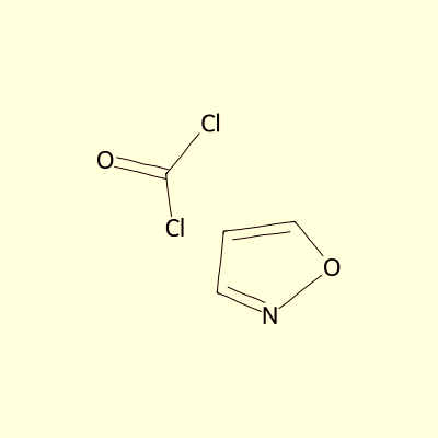 O=C(Cl)Cl.c1cnoc1